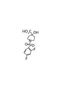 O=C(O)C1(O)CCN(S(=O)(=O)c2ccc(F)cc2F)CC1